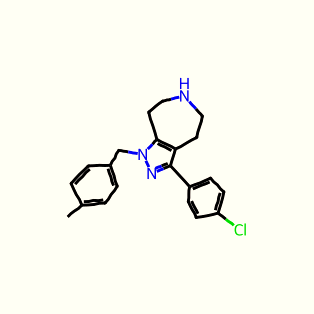 Cc1ccc(Cn2nc(-c3ccc(Cl)cc3)c3c2CCNCC3)cc1